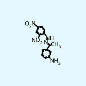 C/C(=N\Nc1ccc([N+](=O)[O-])cc1[N+](=O)[O-])c1cccc(N)c1